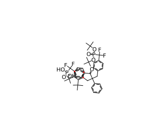 CC(C)(C)OP(=O)(OC(C)(C)C)C(F)(F)c1ccc(CC(Cc2ccc(C(F)(F)P(=O)(O)O)c(C(C)(C)C)c2C(C)(C)C)(C(=O)c2ccccc2)c2ccccc2)cc1